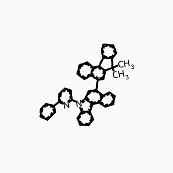 CC1(C)c2ccccc2-c2c1cc(-c1cc3c(c4ccccc14)c1ccccc1n3-c1cccc(-c3ccccc3)n1)c1ccccc21